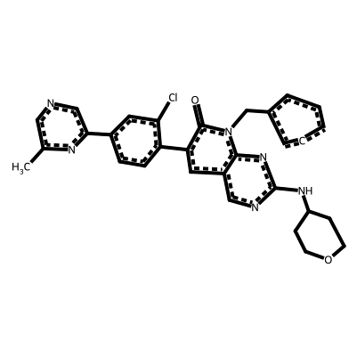 Cc1cncc(-c2ccc(-c3cc4cnc(NC5CCOCC5)nc4n(Cc4ccccc4)c3=O)c(Cl)c2)n1